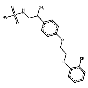 CC(CNS(=O)(=O)C(C)C)c1ccc(OCCOc2ccccc2C#N)cc1